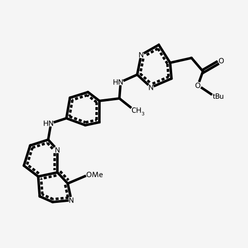 COc1nccc2ccc(Nc3ccc(C(C)Nc4ncc(CC(=O)OC(C)(C)C)cn4)cc3)nc12